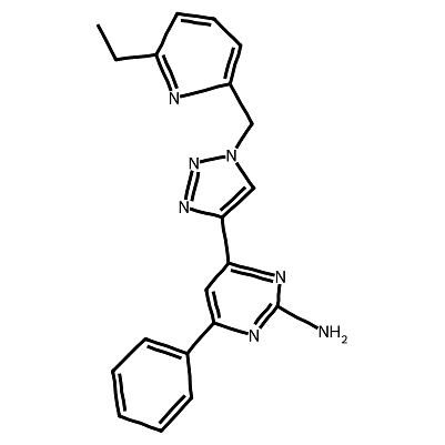 CCc1cccc(Cn2cc(-c3cc(-c4ccccc4)nc(N)n3)nn2)n1